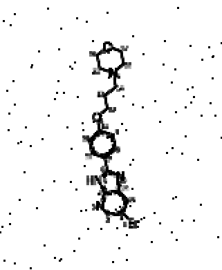 Brc1cnc2[nH]c(-c3ccc(OCCCN4CCOCC4)cc3)nc2c1